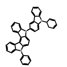 C1=CCC(n2c3ccccc3c3cc(-n4c5ccccc5c5c6c7ccccc7n(-c7ccccc7)c6ccc54)ccc32)C=C1